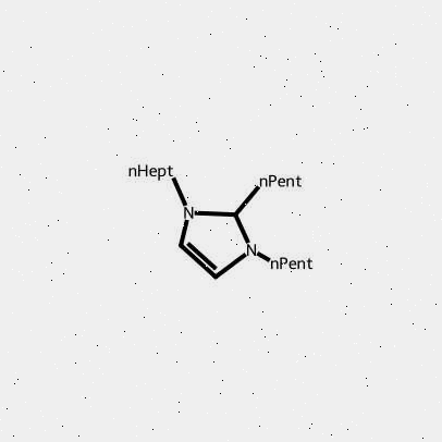 CCCCCCCN1C=CN(CCCCC)C1CCCCC